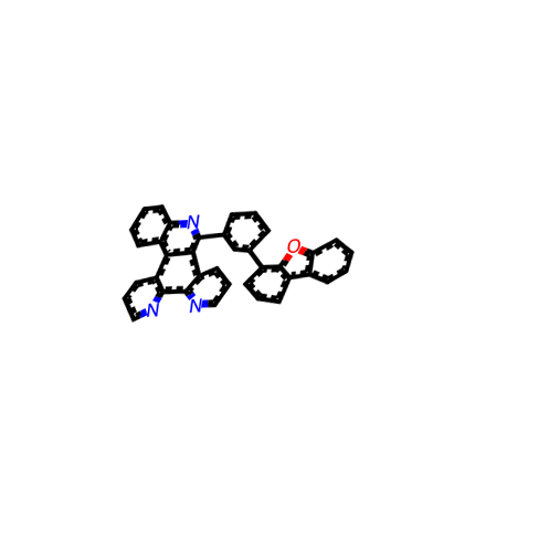 c1cc(-c2cccc3c2oc2ccccc23)cc(-c2nc3ccccc3c3c4cccnc4c4ncccc4c23)c1